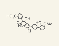 COc1cccc(-c2ccc(-c3cc4c(O)c(-c5cccc(C(=O)O)c5)c(=O)[nH]c4cc3Cl)cc2)c1O